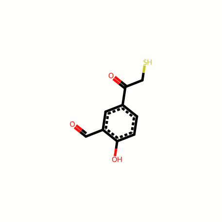 O=Cc1cc(C(=O)CS)ccc1O